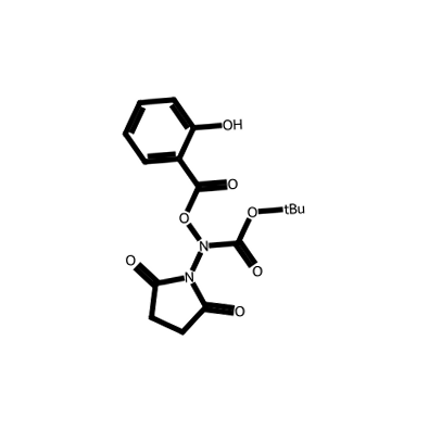 CC(C)(C)OC(=O)N(OC(=O)c1ccccc1O)N1C(=O)CCC1=O